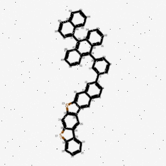 c1cc(-c2ccc3cc4c(cc3c2)sc2cc3sc5ccccc5c3cc24)cc(-c2c3ccccc3c(-c3cccc4ccccc34)c3ccccc23)c1